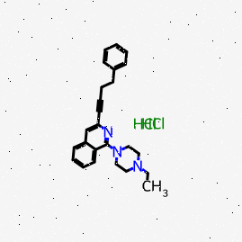 CCN1CCN(c2nc(C#CCCc3ccccc3)cc3ccccc23)CC1.Cl.Cl